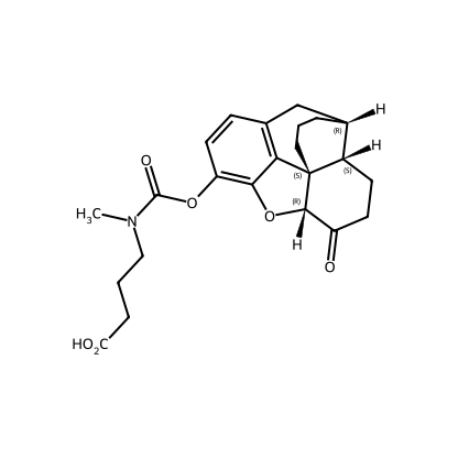 CN(CCCC(=O)O)C(=O)Oc1ccc2c3c1O[C@H]1C(=O)CC[C@H]4[C@H](CCC[C@]314)C2